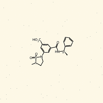 C[C@@H](NC(=O)c1cc(C(=O)O)cc(N2CCN(C)S2(=O)=O)c1)c1ccccc1